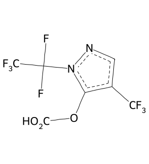 O=C(O)Oc1c(C(F)(F)F)cnn1C(F)(F)C(F)(F)F